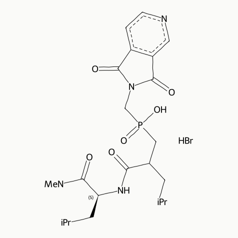 Br.CNC(=O)[C@H](CC(C)C)NC(=O)C(CC(C)C)CP(=O)(O)CN1C(=O)c2ccncc2C1=O